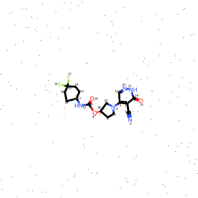 N#Cc1c(N2CC[C@@H](OC(=O)NC3CCC(F)(F)CC3)C2)cn[nH]c1=O